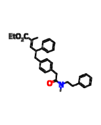 CCOC(=O)C(C)=CC(Cc1ccc(CC(=O)N(C)CCc2ccccc2)cc1)c1ccccc1